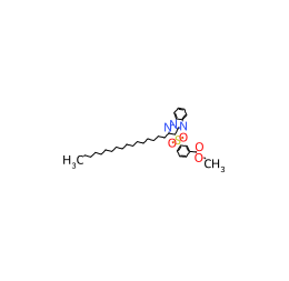 CCCCCCCCCCCCCCCCCC1=Nn2c(nc3ccccc32)C1S(=O)(=O)c1cccc(C(=O)OCC)c1